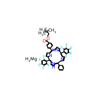 C[Si](C)(C)CCOC(=O)c1ccc(-c2c3nc(c(-c4c(F)c(F)c(F)c(F)c4F)c4ccc([nH]4)c(-c4ccccc4)c4nc(c(-c5c(F)c(F)c(F)c(F)c5F)c5ccc2[nH]5)C=C4)C=C3)cc1.[MgH2]